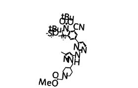 COC(=O)CN1CCC(Cn2nc(C)cc2Nc2nccc(-c3cc(C#N)c4c(c3)[C@@](C)(CO[Si](C)(C)C(C)(C)C)CN4C(=O)OC(C)(C)C)n2)CC1